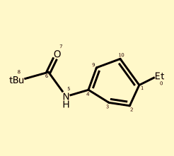 CCc1ccc(NC(=O)C(C)(C)C)cc1